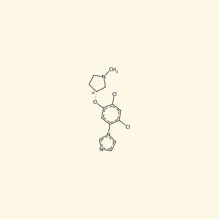 CN1CC[C@@H](Oc2cc(-n3ccnc3)c(Cl)cc2Cl)C1